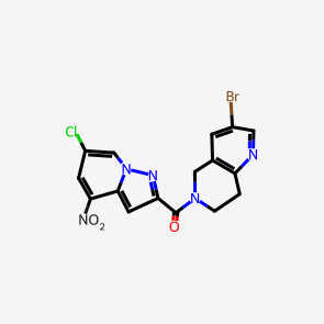 O=C(c1cc2c([N+](=O)[O-])cc(Cl)cn2n1)N1CCc2ncc(Br)cc2C1